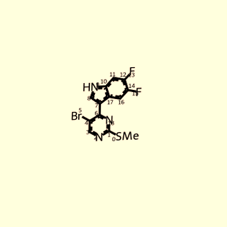 CSc1ncc(Br)c(-c2c[nH]c3cc(F)c(F)cc23)n1